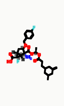 C=C1CC(C)CC(CCC(=O)O[C@H](C)OC(=O)[C@@]2(N)[C@H]3[C@@H](C[C@H]2OCc2ccc(F)cc2)[C@]3(F)C(=O)O)C1